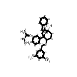 NNC(N)=O.O=C(O)C1CC2(c3ccccc3)C(OCc3cc(C(F)(F)F)cc(C(F)(F)F)c3)CCC1N2Cc1ccccc1